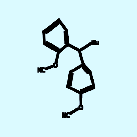 CCC(C)C(c1ccc(OC#N)cc1)c1ccccc1OC#N